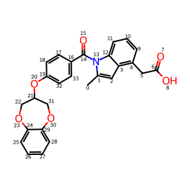 Cc1cc2c(CC(=O)O)cccc2n1C(=O)c1ccc(OC2COc3ccccc3OC2)cc1